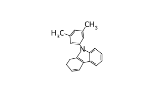 Cc1cc(C)cc(-n2c3c(c4ccccc42)C=CCC3)c1